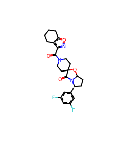 O=C(c1noc2c1CCCC2)N1CCC2(CC1)OC1CC[C@@H](c3cc(F)cc(F)c3)N1C2=O